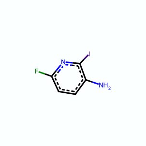 Nc1ccc(F)nc1I